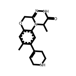 Cc1cc2c(cc1C1=CCNCC1)N1C(=NNC(=O)C1C)CO2